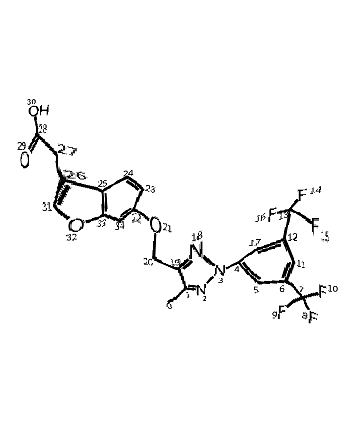 Cc1nn(-c2cc(C(F)(F)F)cc(C(F)(F)F)c2)nc1COc1ccc2c(CC(=O)O)coc2c1